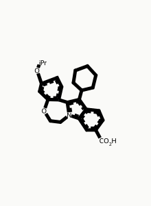 CC(C)Oc1ccc2c(c1)OCCn1c-2c(C2CCCCC2)c2ccc(C(=O)O)cc21